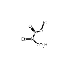 CCOS(=O)N(CC)C(=O)O